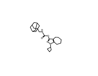 O=C(NCC12CC3CC(CC(C3)C1)C2)Oc1nn(C2CCC2)c2c1CCCCC2